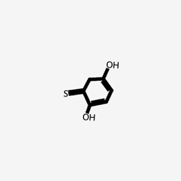 OC1=CC=C(O)C(=S)C1